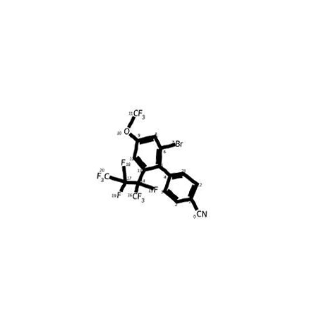 N#Cc1ccc(-c2c(Br)[c]c(OC(F)(F)F)cc2C(F)(C(F)(F)F)C(F)(F)C(F)(F)F)cc1